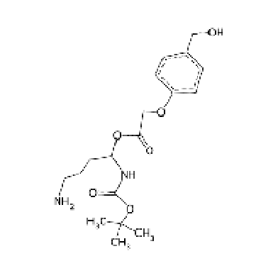 CC(C)(C)OC(=O)NC(CCCN)OC(=O)COc1ccc(CO)cc1